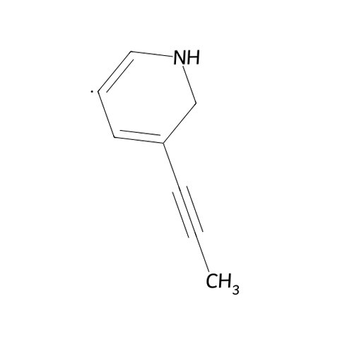 CC#CC1=C[C]=CNC1